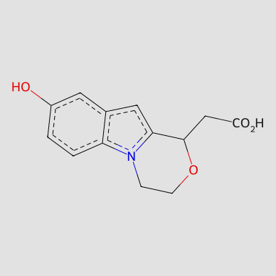 O=C(O)CC1OCCn2c1cc1cc(O)ccc12